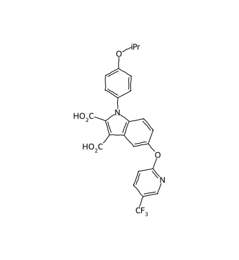 CC(C)Oc1ccc(-n2c(C(=O)O)c(C(=O)O)c3cc(Oc4ccc(C(F)(F)F)cn4)ccc32)cc1